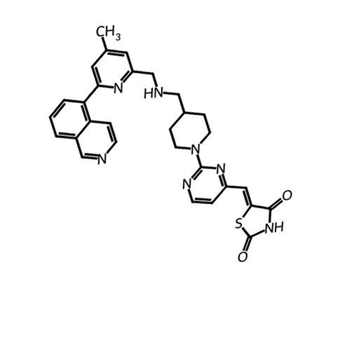 Cc1cc(CNCC2CCN(c3nccc(/C=C4\SC(=O)NC4=O)n3)CC2)nc(-c2cccc3cnccc23)c1